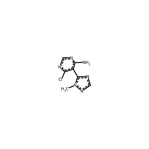 Cn1ncnc1-c1c(N)ncnc1Cl